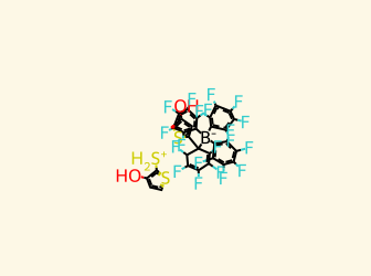 Oc1ccsc1[SH2+].Oc1csc(C2([B-](c3c(F)c(F)c(F)c(F)c3F)(c3c(F)c(F)c(F)c(F)c3F)c3c(F)c(F)c(F)c(F)c3F)C(F)=C(F)C(F)=C(F)C2F)c1